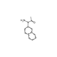 CC(=O)N(N)c1ccc2ccccc2c1